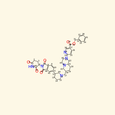 O=C1CCC(N2C(=O)c3ccc(C4CCCN(CC5CCC6CN(c7ccc(C(=O)OCc8ccccc8)cn7)CCN6C5)C4)cc3C2=O)C(=O)N1